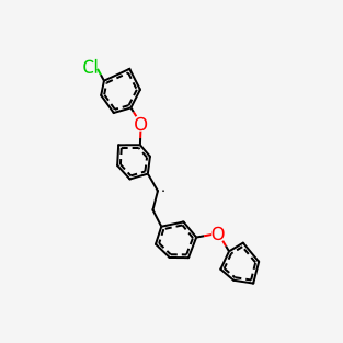 Clc1ccc(Oc2cccc([CH]Cc3cccc(Oc4ccccc4)c3)c2)cc1